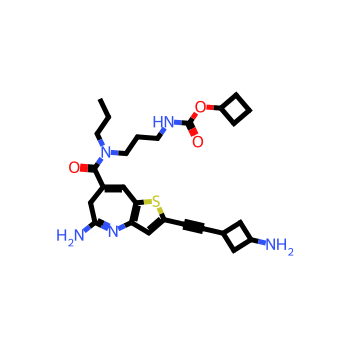 CCCN(CCCNC(=O)OC1CCC1)C(=O)C1=Cc2sc(C#CC3CC(N)C3)cc2N=C(N)C1